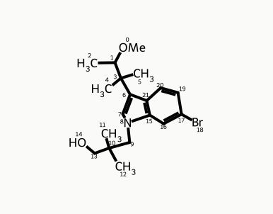 COC(C)C(C)(C)c1cn(CC(C)(C)CO)c2cc(Br)ccc12